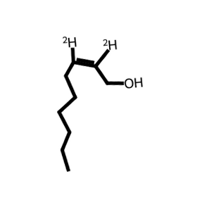 [2H]C(CO)=C([2H])CCCCCC